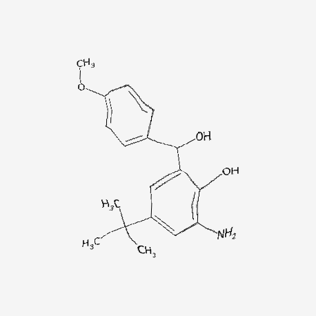 COc1ccc(C(O)c2cc(C(C)(C)C)cc(N)c2O)cc1